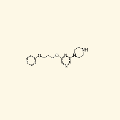 c1ccc(OCCCOc2cncc(N3CCNCC3)n2)cc1